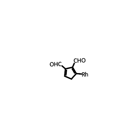 O=CC1=CC[C]([Rh])=C1C=O